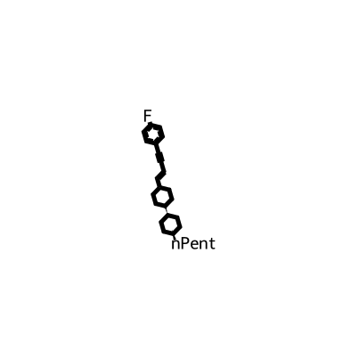 CCCCC[C@H]1CC[C@H](C2CCC(/C=C/C#Cc3ccc(F)cc3)CC2)CC1